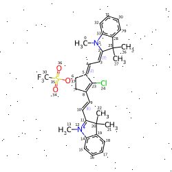 CN1/C(=C\C=C2\CCC(/C=C/C3=[N+](C)c4ccccc4C3(C)C)=C2Cl)C(C)(C)c2ccccc21.O=S(=O)([O-])C(F)(F)F